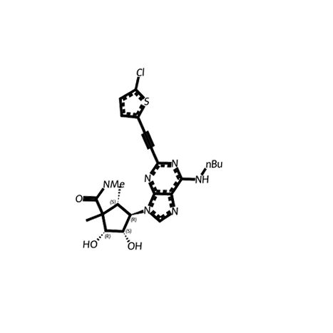 CCCCNc1nc(C#Cc2ccc(Cl)s2)nc2c1ncn2[C@H]1[C@H](O)[C@H](O)C(C)(C(=O)NC)[C@@H]1C